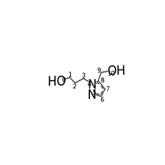 OCCCn1nccc1CO